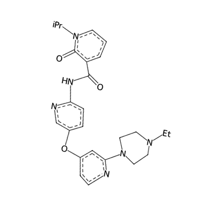 CCN1CCN(c2cc(Oc3ccc(NC(=O)c4cccn(C(C)C)c4=O)nc3)ccn2)CC1